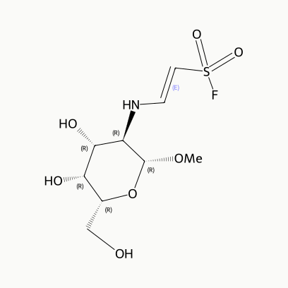 CO[C@@H]1O[C@H](CO)[C@H](O)[C@H](O)[C@H]1N/C=C/S(=O)(=O)F